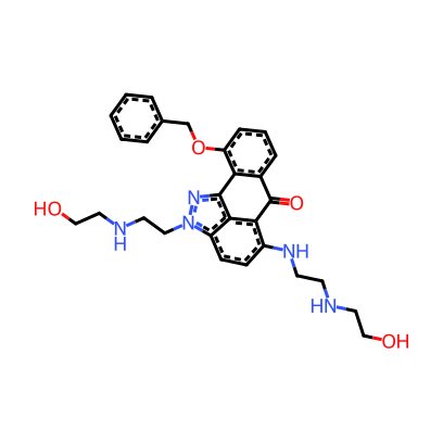 O=C1c2cccc(OCc3ccccc3)c2-c2nn(CCNCCO)c3ccc(NCCNCCO)c1c23